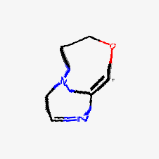 [C]1=C2N=CCN2CCO1